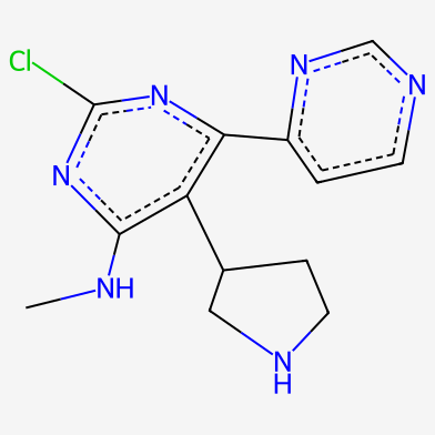 CNc1nc(Cl)nc(-c2ccncn2)c1C1CCNC1